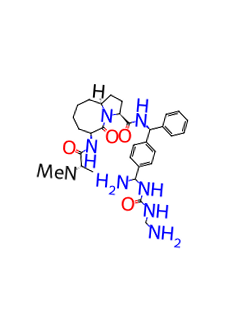 CN[C@@H](C)C(=O)N[C@H]1CCCC[C@H]2CC[C@@H](C(=O)N[C@@H](c3ccccc3)c3ccc(C(N)NC(=O)NCN)cc3)N2C1=O